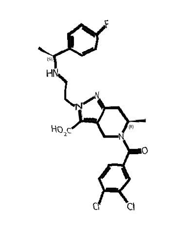 C[C@H](NCCn1nc2c(c1C(=O)O)CN(C(=O)c1ccc(Cl)c(Cl)c1)[C@H](C)C2)c1ccc(F)cc1